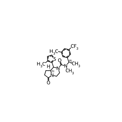 Cc1cc([C@@H](C)N(C)C(=O)N2CCN3C(=O)CC[C@H]3C2c2sccc2C)cc(C(F)(F)F)c1